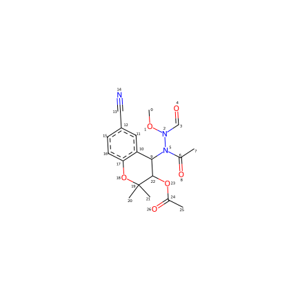 CON(C=O)N(C(C)=O)C1c2cc(C#N)ccc2OC(C)(C)C1OC(C)=O